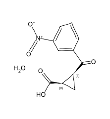 O.O=C(c1cccc([N+](=O)[O-])c1)[C@H]1C[C@H]1C(=O)O